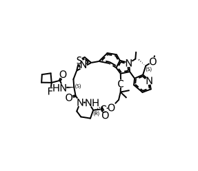 CCn1c(-c2cccnc2[C@H](C)OC)c2c3cc(ccc31)-c1csc(n1)C[C@H](NC(=O)C1(F)CCC1)C(=O)N1CCC[C@](C=O)(COCC(C)(C)C2)N1